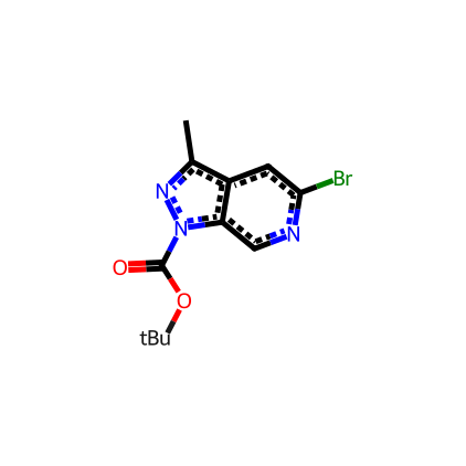 Cc1nn(C(=O)OC(C)(C)C)c2cnc(Br)cc12